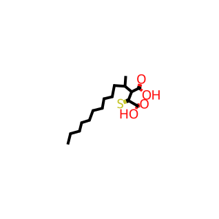 CCCCCCCCCCC(C)C(C(=O)O)C(=S)C(=O)O